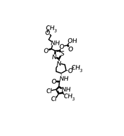 COCCNC(=O)c1nc(N2CC[C@@H](NC(=O)c3[nH]c(C)c(Cl)c3Cl)[C@@H](OC)C2)sc1OC(=O)O